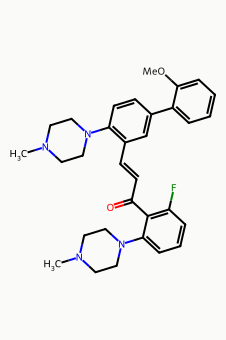 COc1ccccc1-c1ccc(N2CCN(C)CC2)c(C=CC(=O)c2c(F)cccc2N2CCN(C)CC2)c1